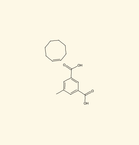 C1=CCCCCCC1.Cc1cc(C(=O)O)cc(C(=O)O)c1